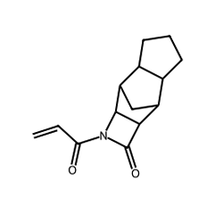 C=CC(=O)N1C(=O)C2C3CC(C4CCCC43)C21